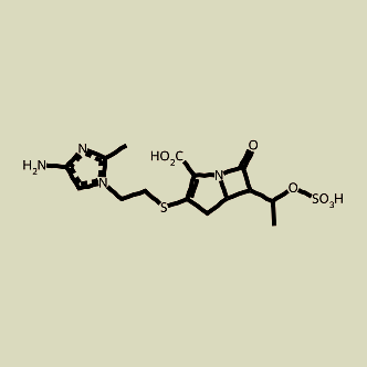 Cc1nc(N)cn1CCSC1=C(C(=O)O)N2C(=O)C(C(C)OS(=O)(=O)O)C2C1